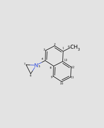 Cc1ccc(N2CC2)c2ccccc12